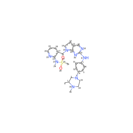 CC1CN(c2ccc(Nc3ncc4ccn(Cc5cccnc5N(C)S(C)(=O)=O)c4n3)cc2)CCN1C